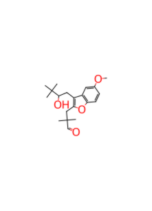 COc1ccc2oc(CC(C)(C)C=O)c(CC(O)C(C)(C)C)c2c1